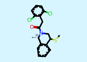 CSC1CN(C(=O)Cc2c(Cl)cccc2Cl)[C@@H](C)c2ccccc21